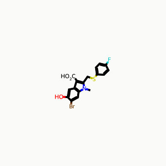 Cn1c(CSc2ccc(F)cc2)c(C(=O)O)c2cc(O)c(Br)cc21